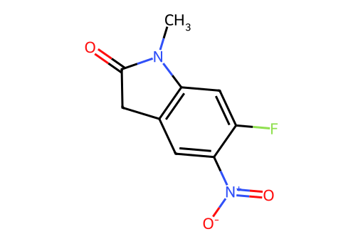 CN1C(=O)Cc2cc([N+](=O)[O-])c(F)cc21